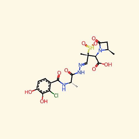 C[C@H](NC(=O)c1ccc(O)c(O)c1Cl)C(=O)N/N=C/[C@@](C)([C@H](C(=O)O)N1C(=O)C[C@H]1C)[SH](=O)=O